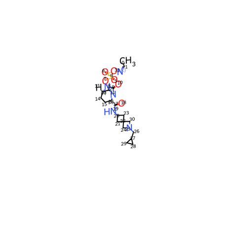 C/C=N\OS(=O)(=O)ON1C(=O)N2C[C@H]1CC[C@H]2C(=O)NC1CC2(C1)CN(CC1CC1)C2